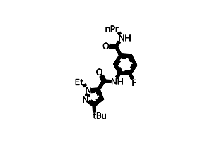 CCCNC(=O)c1ccc(F)c(NC(=O)c2cc(C(C)(C)C)nn2CC)c1